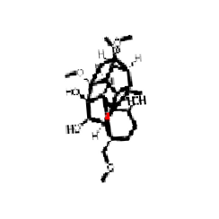 CCN1C[C@]2(COC)CC[C@H](O)[C@@]34[C@@H]5C[C@H]6[C@H](OC)[C@@H]5[C@](OC)(C[C@@H]6OC)[C@@](O)([C@H](O)[C@H]23)[C@@H]14